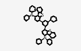 c1ccc(-c2cc(-c3ccc(N(c4ccccc4)c4ccccc4)c4c3sc3ccccc34)cc(-c3ccc(N(c4ccccc4)c4ccccc4)c4c3sc3ccccc34)c2)cc1